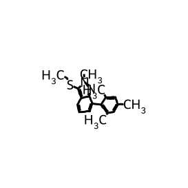 CCSc1c2cccc(-c3c(C)cc(C)cc3C)c2nn1C